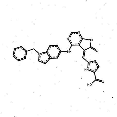 O=C1Nc2ncnc(Nc3ccc4c(ccn4Cc4ccccc4)c3)c2/C1=C/c1ccc(C(=O)O)[nH]1